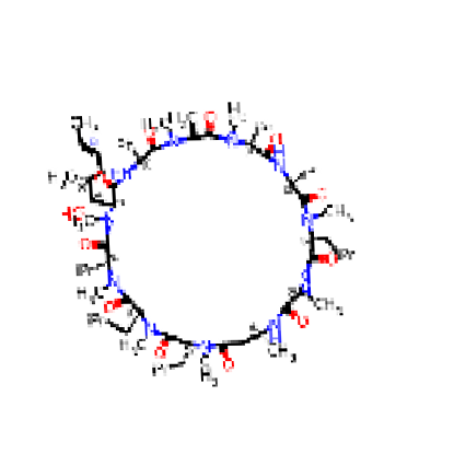 C=C1C(=O)N(C)[C@@H](C(C)C)C(=O)N[C@@H](C(C)C)C(=O)N(C)[C@@H](CC(C)C)C(=O)N[C@@H](C)C(=O)N[C@H](C)CC(=O)N(C)[C@H](CC(C)C)C(=O)N(C)[C@@H](CC(C)C)C(=O)N(C)[C@@H](C(C)C)C(=O)N(C)[C@@H]([C@H](O)[C@H](C)C/C=C/C)C(=O)N[C@@H](CC)C(=O)N1C